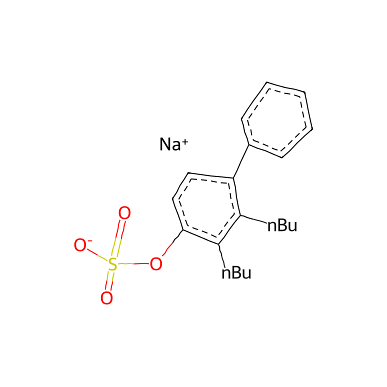 CCCCc1c(OS(=O)(=O)[O-])ccc(-c2ccccc2)c1CCCC.[Na+]